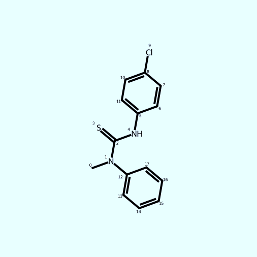 CN(C(=S)Nc1ccc(Cl)cc1)c1ccccc1